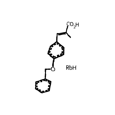 CC(=Cc1ccc(OCc2ccccc2)cc1)C(=O)O.[RbH]